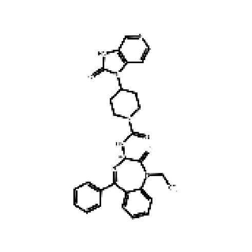 O=C(N[C@@H]1N=C(c2ccccc2)c2ccccc2N(CC(F)(F)F)C1=O)N1CCC(n2c(=O)[nH]c3cnccc32)CC1